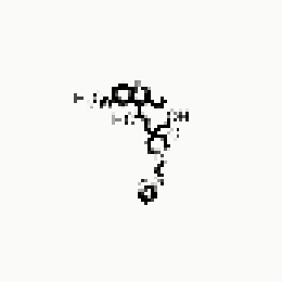 COc1ccc2ncc(CF)c([C@@H](O)CCC3(CC(=O)O)CCN(CCSc4cccs4)CC3)c2c1